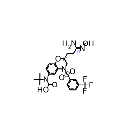 CC(C)(C)N(C(=O)O)c1ccc2c(c1)N(S(=O)(=O)c1cccc(C(F)(F)F)c1)C[C@H](CC/C(N)=N/O)O2